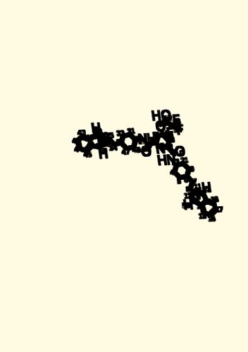 O=C(NC1CCC(CCN2[C@@H]3CC[C@H]2c2ccccc23)CC1)c1cccc(C(=O)NC2CCC(CCN3[C@@H]4CC[C@H]3c3ccccc34)CC2)n1.O=C(O)C(F)(F)F